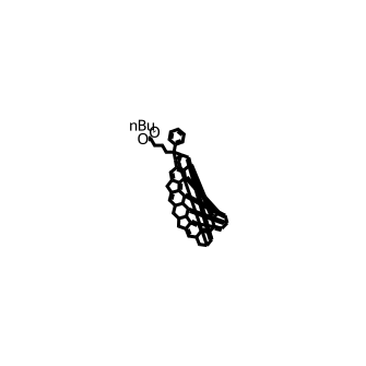 CCCCOC(=O)CCCC1(c2ccccc2)C2c3cc4c5c6c7c8c9c%10c%11c%12c%13c%14c(c%15c3c5c8c%15c%13%10)C21CC%14CC%12C=C1CC2CC(C=C6C4)C7C=9C2C=%111